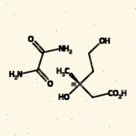 C[C@@](O)(CCO)CC(=O)O.NC(=O)C(N)=O